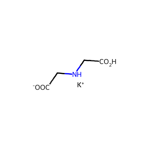 O=C([O-])CNCC(=O)O.[K+]